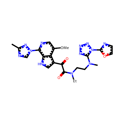 CCN(CCN(C)c1nnnn1-c1ncco1)C(=O)C(=O)c1c[nH]c2c(-n3cnc(C)n3)ncc(OC)c12